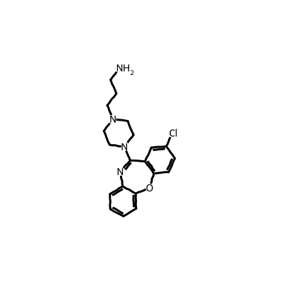 NCCCN1CCN(C2=Nc3ccccc3Oc3ccc(Cl)cc32)CC1